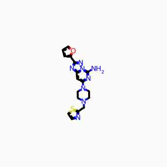 Nc1nc(N2CCN(Cc3nccs3)CC2)cc2nc(-c3ccco3)nn12